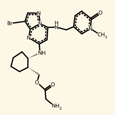 Cn1cc(CNc2cc(N[C@H]3CCCC[C@H]3COC(=O)CN)nc3c(Br)cnn23)ccc1=O